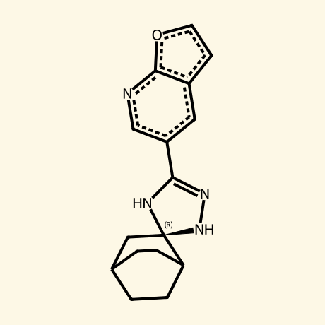 c1cc2cc(C3=NN[C@@]4(CC5CCC4CC5)N3)cnc2o1